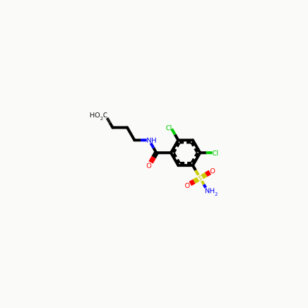 NS(=O)(=O)c1cc(C(=O)NCCCC(=O)O)c(Cl)cc1Cl